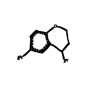 CC(C)c1ccc2c(c1)C(C(C)C)CCO2